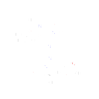 CC[C@H]1COCCN1c1cc(C(C)(C)S(C)(=O)=O)cc(-c2ccc3c(cc(CN(C)C(=O)OC(C)(C)C)n3S(=O)(=O)c3ccccc3)n2)n1